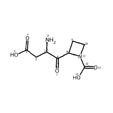 NC(CC(=O)O)C(=O)C1CCN1C(=O)O